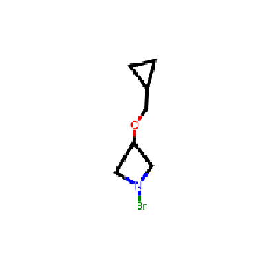 BrN1CC(OCC2CC2)C1